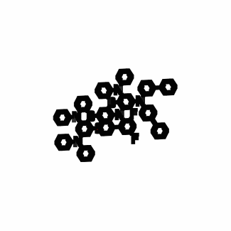 Fc1cc(F)c(N2c3cc4c(cc3B3c5ccccc5N(c5ccccc5)c5cc(N(c6ccc(-c7ccccc7)cc6)c6cccc(-c7ccccc7)c6)cc2c53)B2c3ccccc3N(c3ccccc3)c3cc(N(c5ccccc5)c5ccccc5)cc(c32)S4)c(-c2ccccc2)c1